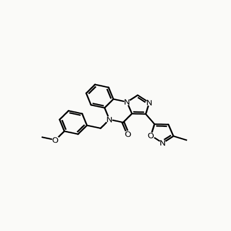 COc1cccc(Cn2c(=O)c3c(-c4cc(C)no4)ncn3c3ccccc32)c1